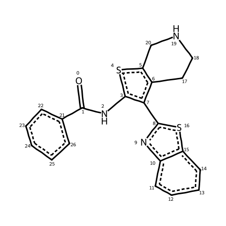 O=C(Nc1sc2c(c1-c1nc3ccccc3s1)CCNC2)c1ccccc1